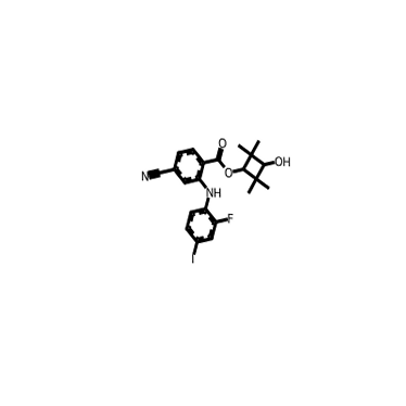 CC1(C)C(O)C(C)(C)C1OC(=O)c1ccc(C#N)cc1Nc1ccc(I)cc1F